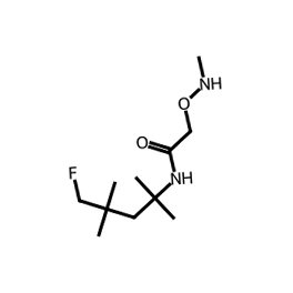 CNOCC(=O)NC(C)(C)CC(C)(C)CF